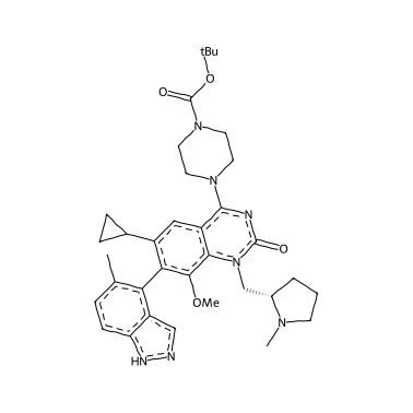 COc1c(-c2c(C)ccc3[nH]ncc23)c(C2CC2)cc2c(N3CCN(C(=O)OC(C)(C)C)CC3)nc(=O)n(C[C@@H]3CCCN3C)c12